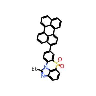 CCc1nc2cccc3c2n1-c1ccc(-c2ccc4c5cccc6cccc(c7cccc2c74)c65)cc1S3(=O)=O